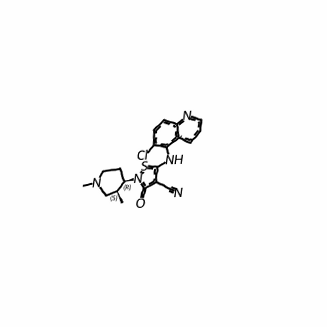 C[C@H]1CN(C)CC[C@H]1n1sc(Nc2c(Cl)ccc3ncccc23)c(C#N)c1=O